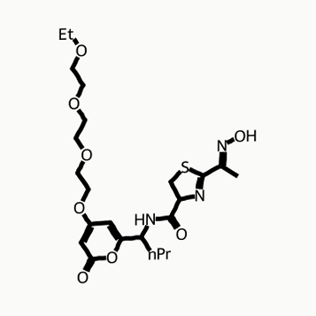 CCCC(NC(=O)C1CSC(/C(C)=N/O)=N1)c1cc(OCCOCCOCCOCC)cc(=O)o1